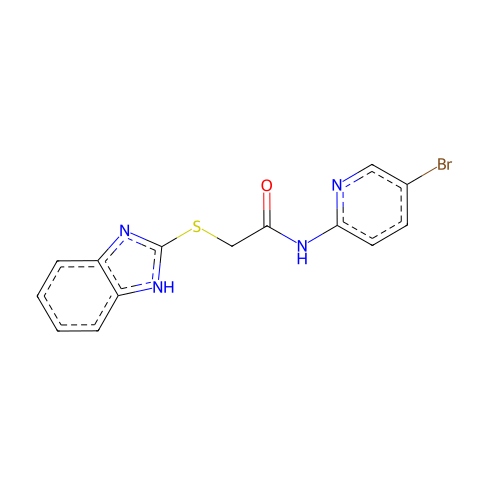 O=C(CSc1nc2ccccc2[nH]1)Nc1ccc(Br)cn1